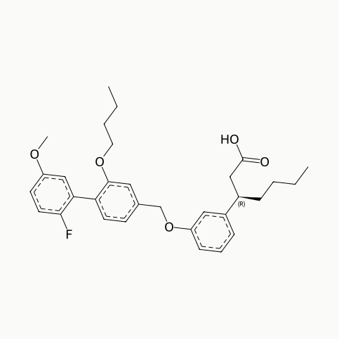 CCCCOc1cc(COc2cccc([C@H](CCCC)CC(=O)O)c2)ccc1-c1cc(OC)ccc1F